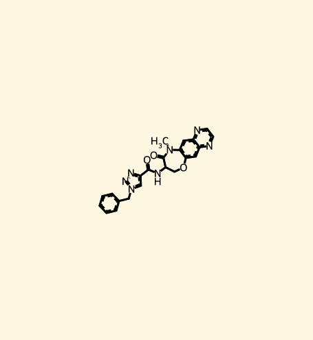 CN1C(=O)C(NC(=O)c2cn(Cc3ccccc3)nn2)COc2cc3nccnc3cc21